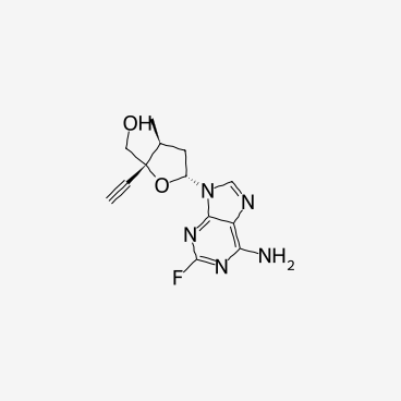 C#C[C@]1(CO)O[C@@H](n2cnc3c(N)nc(F)nc32)C[C@@H]1C